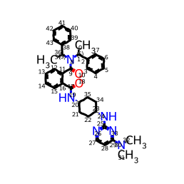 C[C@@H](c1ccccc1)N(C(=O)c1ccccc1C(=O)N[C@H]1CC[C@@H](Nc2nccc(N(C)C)n2)CC1)[C@@H](C)c1ccccc1